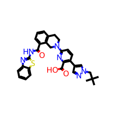 CC(C)(C)Cn1cc(-c2ccc(N3CCc4cccc(C(=O)Nc5nc6ccccc6s5)c4C3)nc2C(=O)O)cn1